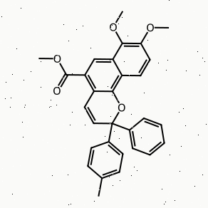 COC(=O)c1cc2c(OC)c(OC)ccc2c2c1C=CC(c1ccccc1)(c1ccc(C)cc1)O2